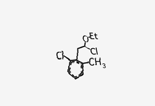 CCOC(Cl)Cc1c(C)cccc1Cl